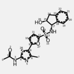 CC(=O)Nc1nc(C)c(-c2ccc(S(=O)(=O)N[C@@H]3c4ccccc4C[C@@H]3O)o2)s1